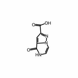 O=C(O)c1cc2c(=O)[nH]ccn2n1